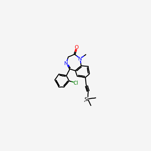 CN1C(=O)CN=C(c2ccccc2Cl)c2cc(C#C[Si](C)(C)C)ccc21